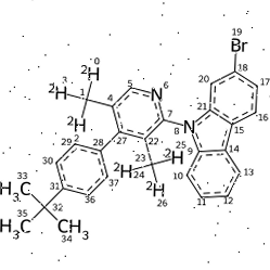 [2H]C([2H])([2H])c1cnc(-n2c3ccccc3c3ccc(Br)cc32)c(C([2H])([2H])[2H])c1-c1ccc(C(C)(C)C)cc1